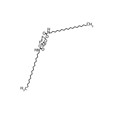 CCCCCCCCCCCCCCCCCCNC(=O)OC(F)OC(F)(F)C(F)(F)OC(=O)NCCCCCCCCCCCCCCCCCC